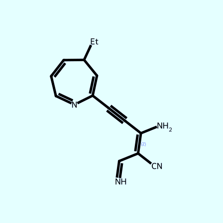 CCC1C=CC=NC(C#C/C(N)=C(/C#N)C=N)=C1